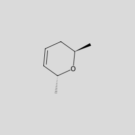 C[C@@H]1C=CC[C@@H](C)O1